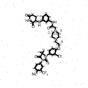 CCc1cc(N2C(=S)N(c3ccc(C#N)c(C(F)(F)F)c3)C(=O)C2(C)C)ccc1O[C@@H](C)CN1C[C@@H](C)N(CC(=O)Nc2cccc(NC3CCC(=O)NC3=O)c2)[C@@H](C)C1